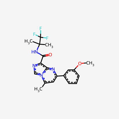 COc1cccc(-c2cc(C)n3cnc(C(=O)NC(C)(C)C(F)(F)F)c3n2)c1